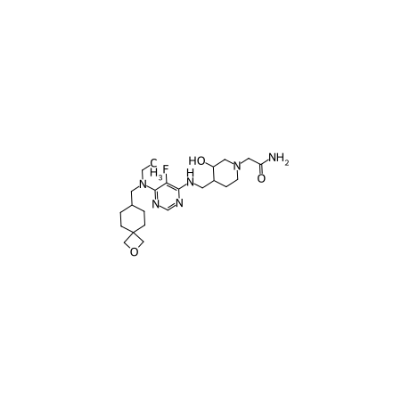 CCN(CC1CCC2(CC1)COC2)c1ncnc(NCC2CCN(CC(N)=O)CC2O)c1F